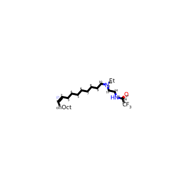 CCCCCCCC/C=C\CCCCCCCCN(CC)CCNC(=O)C(F)(F)F